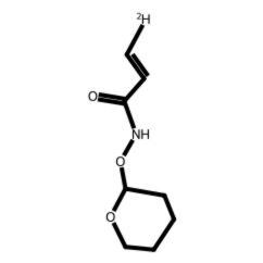 [2H]/C=C/C(=O)NOC1CCCCO1